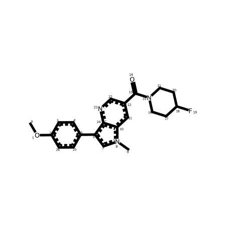 COc1ccc(-c2cn(C)c3cc(C(=O)N4CCC(F)CC4)cnc23)cc1